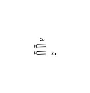 C#N.C#N.[Cu].[Zn]